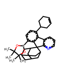 CC1(C)OB(c2ccc(C3CC=CCC3)c3c2C2(c4ncccc4-3)C3CC4CC(C3)CC2C4)OC1(C)C